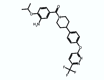 CC(C)Oc1ccc(C(=O)N2CCC(c3ccc(Oc4ccc(C(F)(F)F)nn4)cc3)CC2)cc1N